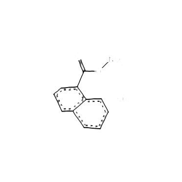 O=C(O[N+](=O)[O-])c1cccc2ccccc12.[Cu]